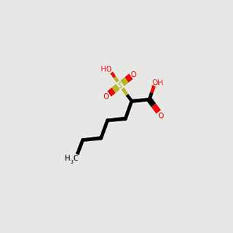 CCCCCC(C(=O)O)S(=O)(=O)O